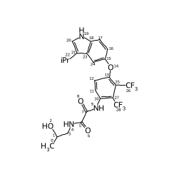 CC(O)CNC(=O)C(=O)Nc1ccc(Oc2ccc3[nH]cc(C(C)C)c3c2)c(C(F)(F)F)c1C(F)(F)F